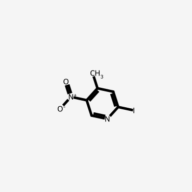 Cc1cc(I)ncc1[N+](=O)[O-]